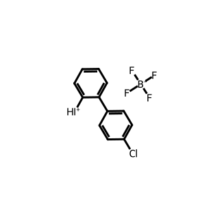 Clc1ccc(-c2ccccc2[IH+])cc1.F[B-](F)(F)F